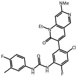 CCn1c(=O)c(-c2cc(NC(=O)Nc3ccc(F)c(C)c3)c(F)cc2Cl)cc2cnc(NC)cc21